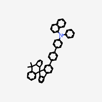 CC1(C)c2ccccc2C2(c3ccccc3-c3ccc(-c4ccc(-c5ccc(N(c6ccccc6)c6cccc7ccccc67)cc5)cc4)cc32)C2C=CC=CC21